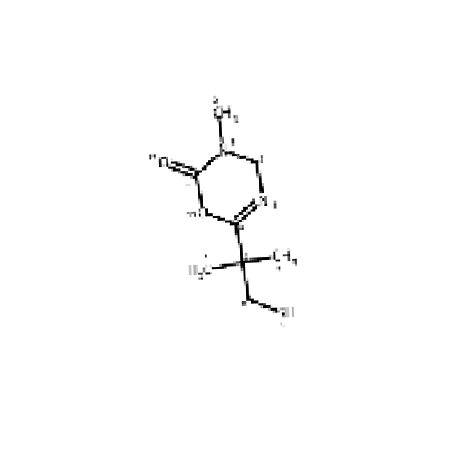 CN1CN=C(C(C)(C)CS)OC1=O